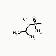 CC(C)OP(C)(=O)F.[Cr]